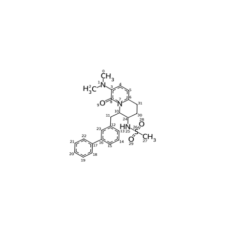 CN(C)c1ccc2n(c1=O)C(Cc1cccc(-c3ccccc3)c1)C(NS(C)(=O)=O)CC2